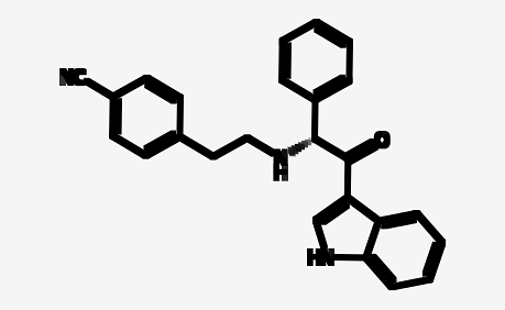 N#Cc1ccc(CCN[C@@H](C(=O)c2c[nH]c3ccccc23)c2ccccc2)cc1